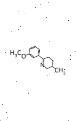 COc1cccc(C2=NCC(C)CC2)c1